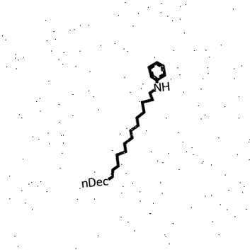 CCCCCCCCCCCCCCCCCCCCCCCCNc1ccccc1